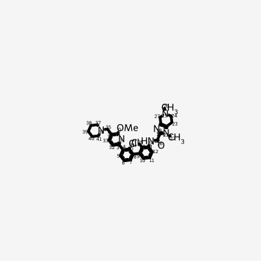 COc1nc(-c2cccc(-c3cccc(NC(=O)c4nc5c(n4C)CCN(C)C5)c3Cl)c2Cl)ccc1CN1CCCCC1